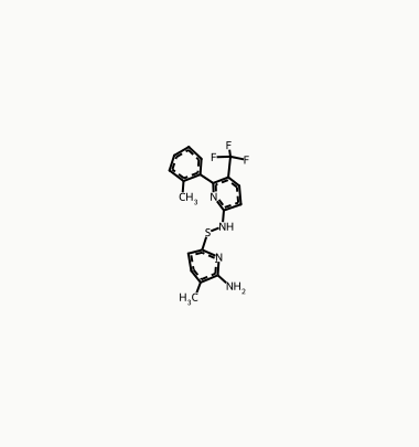 Cc1ccccc1-c1nc(NSc2ccc(C)c(N)n2)ccc1C(F)(F)F